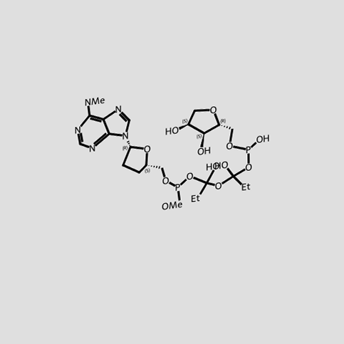 CCC(O)(OP(O)OC[C@H]1OC[C@H](O)[C@@H]1O)OC(O)(CC)OP(OC)OC[C@@H]1CC[C@H](n2cnc3c(NC)ncnc32)O1